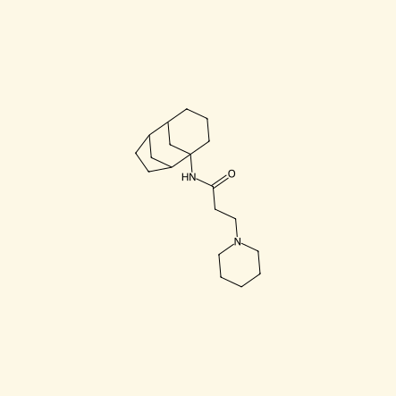 O=C(CCN1CCCCC1)NC12CCCC(C1)C1CCC2C1